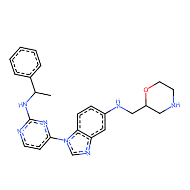 CC(Nc1nccc(-n2cnc3cc(NCC4CNCCO4)ccc32)n1)c1ccccc1